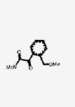 CNC(=O)C(=O)c1ccccc1COC